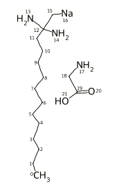 CCCCCCCCCCCCC(N)(N)[CH2][Na].NCC(=O)O